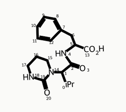 CC(C)C(C(=O)NC(Cc1ccccc1)C(=O)O)N1CCCNC1=O